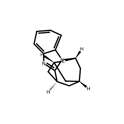 c1ccc2c(c1)nc1n2[C@H]2C[C@@H]3C[C@@H](C[C@H]1C3)C2